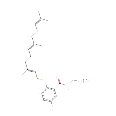 COCOC(=O)c1cc(F)ccc1SC/C=C(\C)CC/C=C(\C)CCC=C(C)C